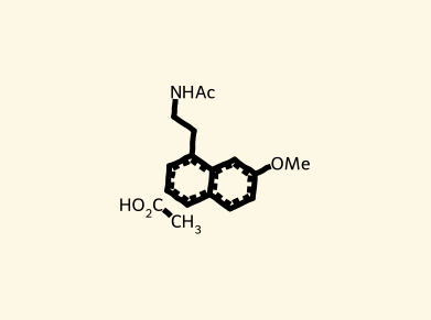 CC(=O)O.COc1ccc2cccc(CCNC(C)=O)c2c1